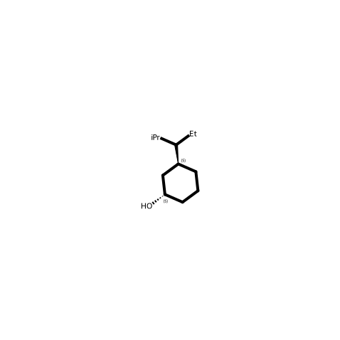 CCC(C(C)C)[C@H]1CCC[C@H](O)C1